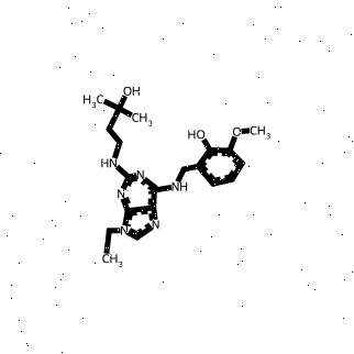 CCn1cnc2c(NCc3cccc(OC)c3O)nc(NCCC(C)(C)O)nc21